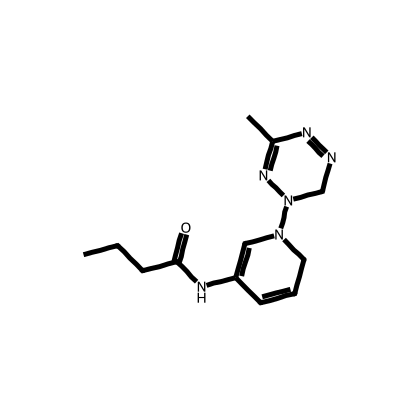 CCCC(=O)NC1=CN(N2CN=NC(C)=N2)CC=C1